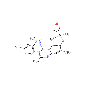 COc1cc2nc(C)nc(N[C@H](C)c3cc(C(F)(F)F)ccn3)c2cc1OC(C)(C)C1CCOC1